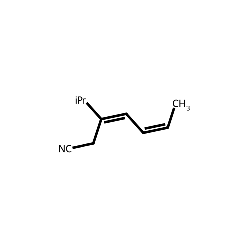 C/C=C\C=C(/CC#N)C(C)C